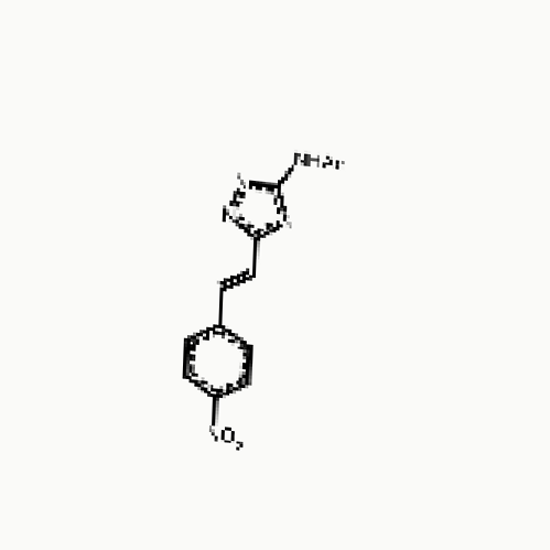 CC(=O)Nc1nnc(C=Cc2ccc([N+](=O)[O-])cc2)s1